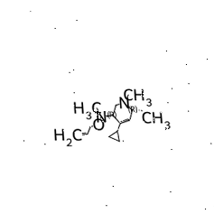 C=CCON(C)[C@H]1CN(C)[C@H](CC)C=C1C1CC1